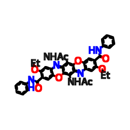 CCOc1cc2c(cc1C(=O)Nc1ccccc1)Oc1c(NC(C)=O)c3c(c(NC(C)=O)c1=N2)Oc1cc(C(=O)Nc2ccccc2)c(OCC)cc1N=3